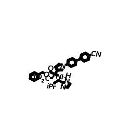 CC(C)CC(N[C@](CC(=O)O)(C(=O)OCc1ccccc1)c1ccn(-c2ccc(-c3ccc(C#N)cc3)cc2)c1)c1ncc[nH]1